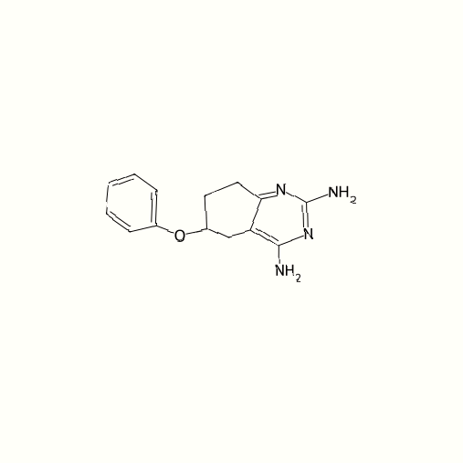 Nc1nc(N)c2c(n1)CCC(Oc1ccccc1)C2